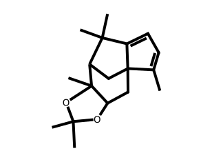 CC1=CC=C2C13CC1OC(C)(C)OC1(C)C(C3)C2(C)C